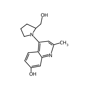 Cc1cc(N2CCCC2CO)c2ccc(O)cc2n1